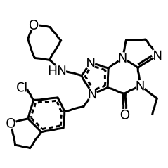 CCN1C(=O)c2c(nc(NC3CCOCC3)n2Cc2cc(Cl)c3c(c2)CCO3)N2CCN=C12